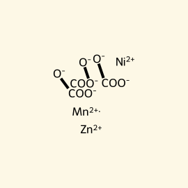 O=C([O-])[O-].O=C([O-])[O-].O=C([O-])[O-].[Mn+2].[Ni+2].[Zn+2]